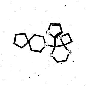 c1coc(C2(N3CCC4(CCCC4)CC3)OCC[N]C23CCN3)c1